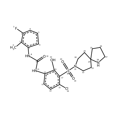 Cc1c(F)cccc1NC(=O)Nc1ccc(Cl)c(S(=O)(=O)N2CCC3(CCCN3)CC2)c1O